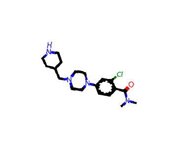 CN(C)C(=O)c1ccc(N2CCN(CC3CCNCC3)CC2)cc1Cl